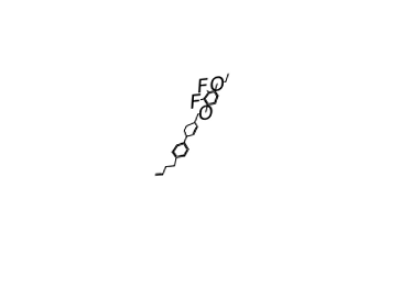 C=CCCc1ccc(C2C=CC(COc3ccc(OCC)c(F)c3F)CC2)cc1